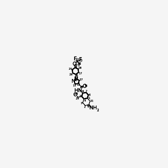 N[C@H]1CCc2c(ccc(NC(=O)c3cnn(-c4ccc(OC(F)(F)F)cc4)c3)c2C=O)C1